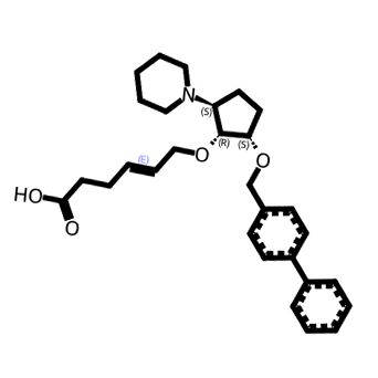 O=C(O)CC/C=C/CO[C@H]1[C@@H](OCc2ccc(-c3ccccc3)cc2)CC[C@@H]1N1CCCCC1